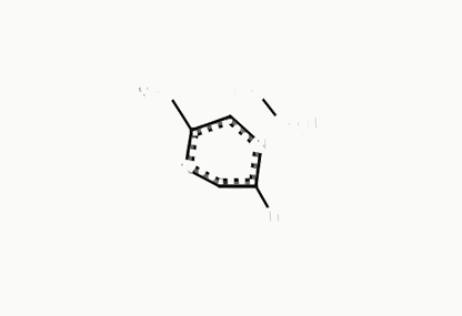 CC(=O)O.[Li][c]1cnc(OC)cn1